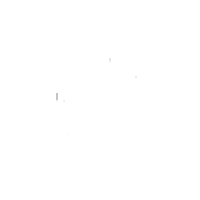 OC1CC2CC(Oc3ccccc3)C(O)C2CC1Oc1ccccc1